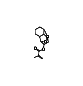 C=C(C)C(=O)OC1C2OC3C1OC1CCCC2C13